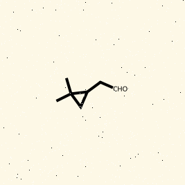 CC1(C)CC1C[C]=O